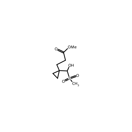 COC(=O)CCC1(C(O)S(C)(=O)=O)CC1